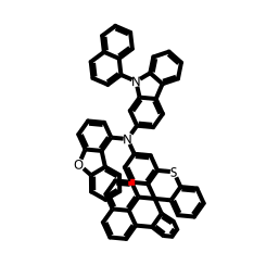 c1ccc2c(c1)Sc1cc(N(c3ccc4c5ccccc5n(-c5cccc6ccccc56)c4c3)c3cccc4oc5ccccc5c34)ccc1C21c2ccccc2-c2cccc3cccc1c23